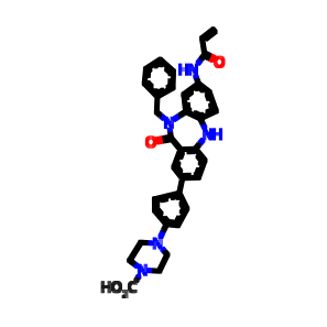 C=CC(=O)Nc1ccc2c(c1)N(Cc1ccccc1)C(=O)c1cc(-c3ccc(N4CCN(C(=O)O)CC4)cc3)ccc1N2